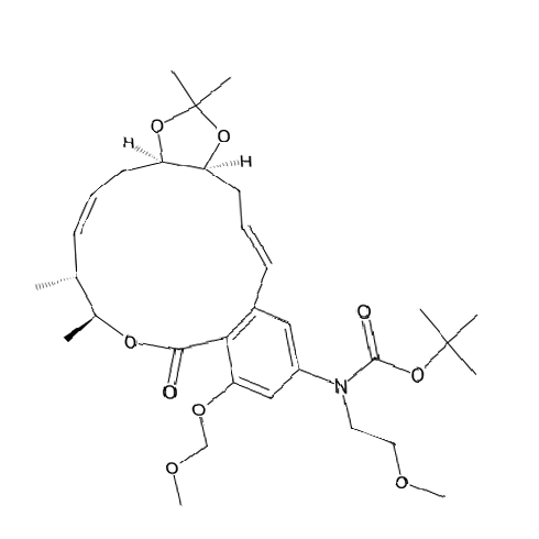 COCCN(C(=O)OC(C)(C)C)c1cc2c(c(OCOC)c1)C(=O)O[C@@H](C)[C@H](C)/C=C\C[C@H]1OC(C)(C)O[C@H]1C/C=C/2